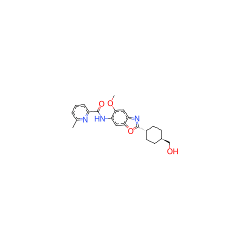 COc1cc2nc([C@H]3CC[C@H](CO)CC3)oc2cc1NC(=O)c1cccc(C)n1